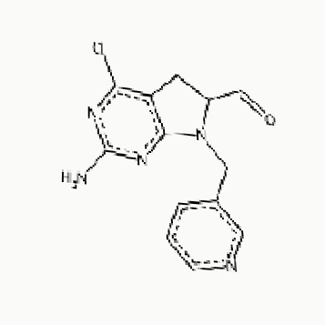 Nc1nc(Cl)c2c(n1)N(Cc1cccnc1)C(C=O)C2